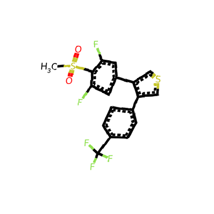 CS(=O)(=O)c1c(F)cc(-c2cscc2-c2ccc(C(F)(F)F)cc2)cc1F